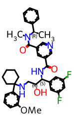 COc1cccc(C2(NC[C@@H](O)[C@@H](NC(=O)c3cncc(C(=O)N(C)[C@H](C)c4ccccc4)c3)c3cc(F)cc(F)c3)CCCCC2)c1